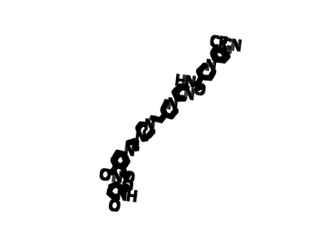 N#Cc1ccc(N2CCC(C(=O)Nc3ccc(N4CCC(CCN5CCN(C6CN(c7ccc8c(c7)C(=O)N(C7CCC(=O)NC7=O)C8=O)C6)CC5)CC4)cn3)CC2)cc1C(F)(F)F